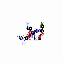 CN1CCC(Nc2ccc(S(=O)(=O)NC(=O)c3ccc(N4CCN(Cc5cc(OCCO[Si](C)(C)C(C)(C)C)ccc5-c5ccc(Cl)cc5)CC4)cc3Oc3cccc4[nH]ccc34)cc2[N+](=O)[O-])CC1